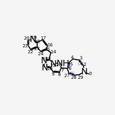 CN1/C=C\C/C=C(C2C=Cc3nnc(Cc4ccc5ncccc5c4)n3N2)\C=C/C1